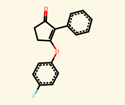 O=C1CCC(Oc2ccc(F)cc2)=C1c1ccccc1